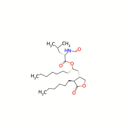 CCCCCCC[C@@H](C[C@@H]1COC(=O)[C@H]1CCCCCC)OC(=O)[C@H](CC(C)C)NC=O